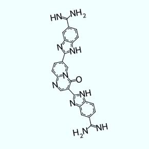 N=C(N)c1ccc2[nH]c(-c3ccc4ncc(-c5nc6cc(C(=N)N)ccc6[nH]5)c(=O)n4c3)nc2c1